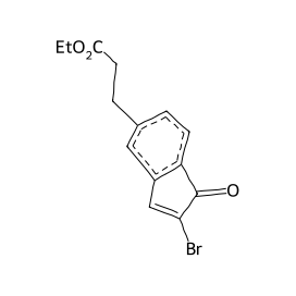 CCOC(=O)CCc1ccc2c(c1)C=C(Br)C2=O